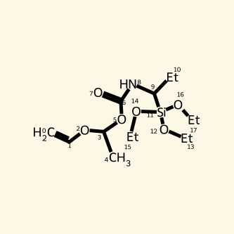 C=COC(C)OC(=O)NC(CC)[Si](OCC)(OCC)OCC